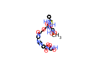 CS(=O)(=O)N1CCC(C(=O)N[C@@H](CCOCCCC(=O)N2CCC(CN3CCN(c4ccc5c(c4)C(=O)N(C4CCC(=O)NC4=O)C5=O)CC3)CC2)C(=O)NC2NC(c3ccccc3)CS2)C1